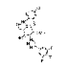 COC1C(n2cc(-c3cc(F)c(F)c(F)c3)nn2)[C@@H](O)C(CO)O[C@@H]1Sc1cc(Cl)cnc1C#N